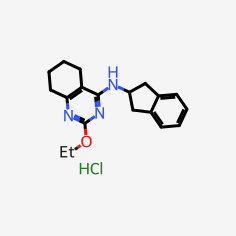 CCOc1nc2c(c(NC3Cc4ccccc4C3)n1)CCCC2.Cl